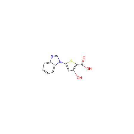 O=C(O)c1sc(-n2cnc3ccccc32)cc1O